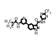 CN(C)C(=O)Nc1cncc(-c2ccc3[nH]nc(C(=O)Nc4cnc(C(F)(F)F)nc4)c3c2)c1